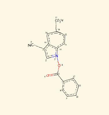 N#Cc1cn(OC(=O)c2ccccc2)c2ccc(C(=O)O)cc12